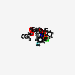 CCOC(=O)C1=CCCCC1S(=O)(=O)N(C(=O)CCC(=O)OCC(Cl)(Cl)Cl)c1ccc(F)cc1Cl